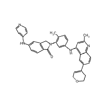 Cc1cc(Nc2ccc(C)c(N3Cc4cc(Nc5ccncc5)ccc4C3=O)c2)c2cc(C3=CCOCC3)ccc2n1